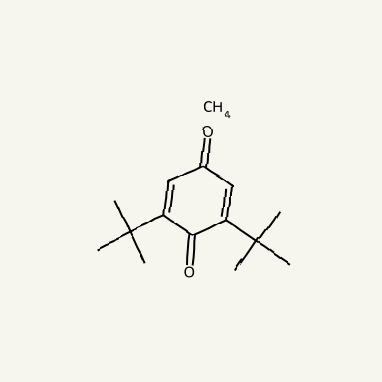 C.CC(C)(C)C1=CC(=O)C=C(C(C)(C)C)C1=O